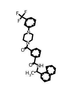 C[C@@H](NC(=O)c1cccc(C(=O)N2CCN(c3cccc(C(F)(F)F)c3)CC2)c1)c1cccc2ccccc12